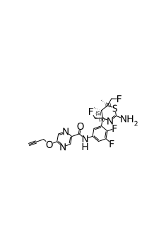 C#CCOc1cnc(C(=O)Nc2cc(F)c(F)c([C@@]3(CF)N=C(N)S[C@](C)(CF)[C@H]3C)c2)cn1